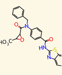 O=C(Nc1nc2ccccc2s1)c1ccc(N(Cc2ccccc2)C(=O)C2OC2C(=O)O)cc1